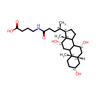 C[C@H](CCC(=O)NCCCC(=O)O)[C@H]1CCC2C3C(C[C@H](O)[C@@]21C)[C@@]1(C)CC[C@@H](O)C[C@H]1C[C@H]3O